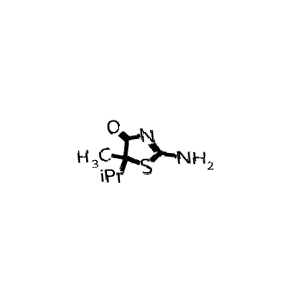 CC(C)C1(C)SC(N)=NC1=O